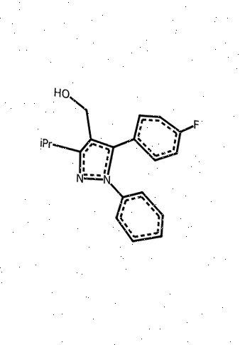 CC(C)c1nn(-c2ccccc2)c(-c2ccc(F)cc2)c1CO